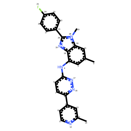 Cc1cc(Nc2ccc(-c3ccnc(C)c3)nn2)c2nc(-c3ccc(F)cc3)n(C)c2c1